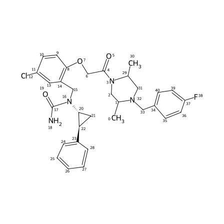 CC1CN(C(=O)COc2ccc(Cl)cc2CN(C(N)=O)[C@@H]2C[C@H]2c2ccccc2)C(C)CN1Cc1ccc(F)cc1